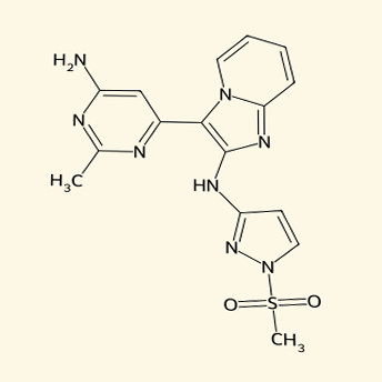 Cc1nc(N)cc(-c2c(Nc3ccn(S(C)(=O)=O)n3)nc3ccccn23)n1